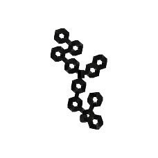 c1ccc(-c2ccccc2-c2ccccc2-c2ccc(N(c3ccc(-c4cccc(-c5oc6ccccc6c5-c5ccccc5)c4)cc3)c3ccc4ccccc4c3)cc2)cc1